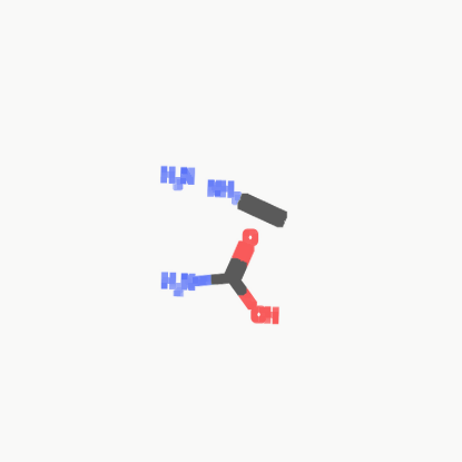 C=C.N.N.NC(=O)O